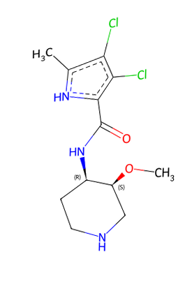 CO[C@H]1CNCC[C@H]1NC(=O)c1[nH]c(C)c(Cl)c1Cl